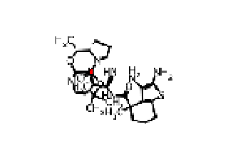 C[C@H](Oc1nccc(C(=N)NC(=O)[C@@]2(C)CCCc3sc(N)c(N)c32)n1)[C@@H]1CCCN1C(=O)OC(C)(C)C